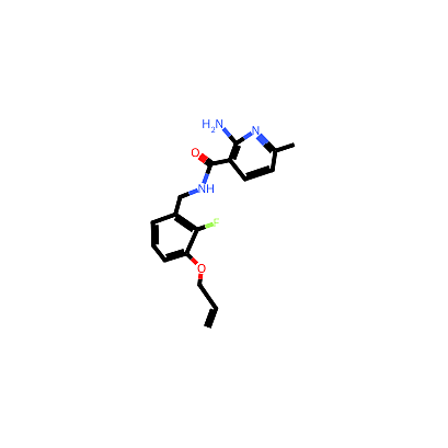 C=CCOc1cccc(CNC(=O)c2ccc(C)nc2N)c1F